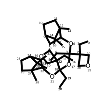 CCC1(C(CC)(OC2CC3CCC2(C)C3(C)C)OC(CC)(OC2CC3CCC2(C)C3(C)C)C2(CC)COC2)COC1